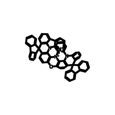 c1ccc2c(c1)-c1ccccc1C21c2ccccc2N2c3c1ccc1c3[N+]3(c4c(ccc5c4-n4c6c(cccc6c6ccc[n+]3c64)C53c4ccccc4-c4ccccc43)O1)[n+]1ccccc12